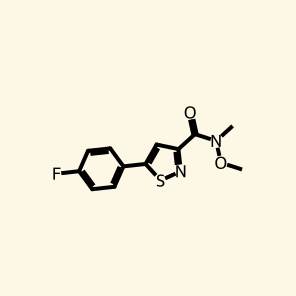 CON(C)C(=O)c1cc(-c2ccc(F)cc2)sn1